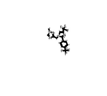 Cn1cnc(Cn2cc(C(F)(F)F)nc2-c2ccc(C(F)(F)F)cc2)n1